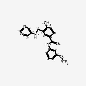 Cc1ccc(C(=O)Nc2cccc(OC(F)(F)F)c2)cc1CNc1cncnc1